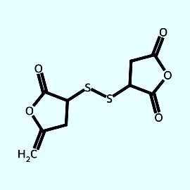 C=C1CC(SSC2CC(=O)OC2=O)C(=O)O1